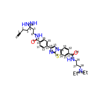 C#CCCC1(CCNC(=O)c2ccc(-c3cn4c(n3)sc3cc(C(=O)NCCCN(CC)CC)ccc34)cc2)NN1